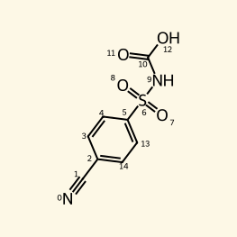 N#Cc1ccc(S(=O)(=O)NC(=O)O)cc1